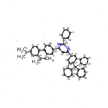 CC(C)c1ccc(-c2ccc(-c3cc(-c4ccc5c(c4)-c4ccccc4C5(c4ccccc4)c4ccccc4)nc(-c4ccccc4)n3)cc2)c(C(C)C)n1